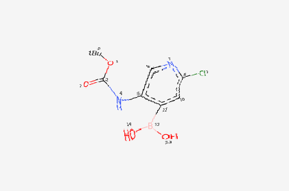 CC(C)(C)OC(=O)Nc1cnc(Cl)cc1B(O)O